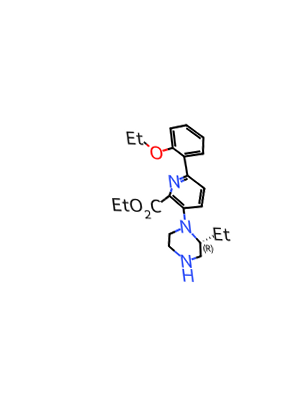 CCOC(=O)c1nc(-c2ccccc2OCC)ccc1N1CCNC[C@H]1CC